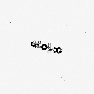 O=C(Nc1ccc(NC(=O)N2Cc3ccncc3C2)cc1)C1CCCO1